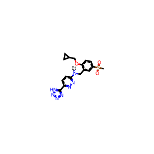 CCN(Cc1cc(S(C)(=O)=O)ccc1OCC1CC1)c1ccc(-c2nnn[nH]2)nn1